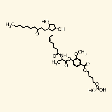 CCCCCCCC(=O)CC[C@@H]1[C@@H](C/C=C\CCCC(=O)NC(C)C(=O)Oc2ccc(C(=O)OCCCCON(O)O)cc2OC)[C@@H](O)C[C@H]1O